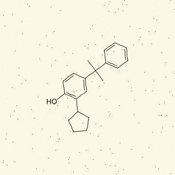 CC(C)(c1ccccc1)c1ccc(O)c(C2CCCC2)c1